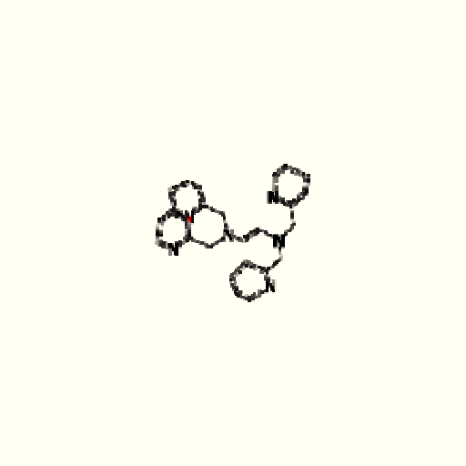 C(=C\N(Cc1ccccn1)Cc1ccccn1)/N(Cc1ccccn1)Cc1ccccn1